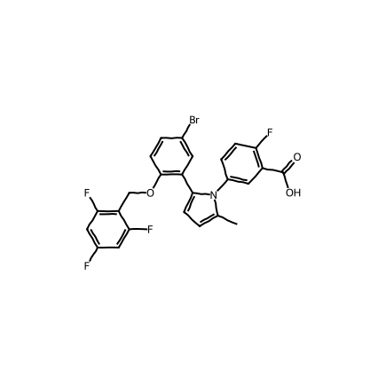 Cc1ccc(-c2cc(Br)ccc2OCc2c(F)cc(F)cc2F)n1-c1ccc(F)c(C(=O)O)c1